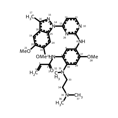 C=CC(=O)Nc1cc(Nc2nccc(-n3nc(C)c4cc(OC)c(OC)cc43)n2)c(OC)cc1N(C)CCN(C)C